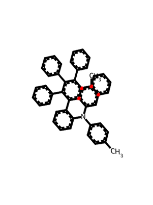 Cc1ccc(N(c2ccc(C)cc2)c2ccccc2-c2cc(-c3ccccc3)c(-c3ccccc3)c(-c3ccccc3)c2-c2ccccc2)cc1